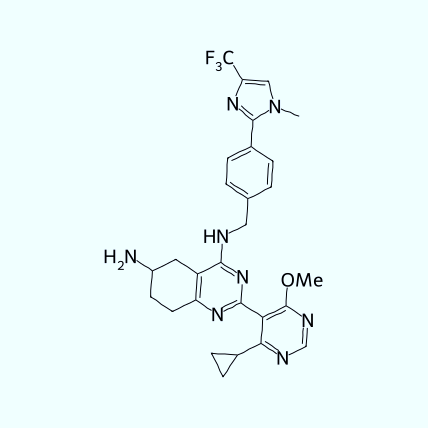 COc1ncnc(C2CC2)c1-c1nc2c(c(NCc3ccc(-c4nc(C(F)(F)F)cn4C)cc3)n1)CC(N)CC2